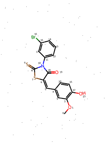 COc1cc(C=C2SC(=S)N(c3cccc(Br)c3)C2=O)ccc1O